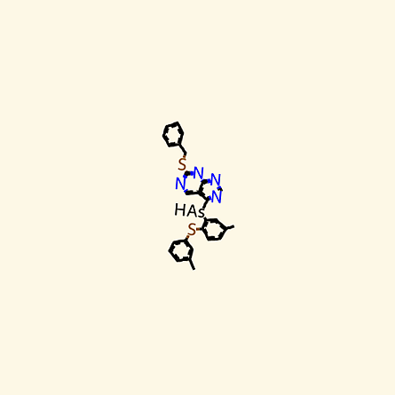 Cc1cccc(Sc2ccc(C)cc2[AsH]c2ncnc3nc(SCc4ccccc4)ncc23)c1